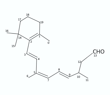 CC1=C(/C=C/C(C)=C\C=C\C(C)CC=O)C(C)(C)CCC1